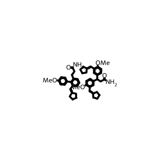 COc1ccc(-c2c(C=C3CCCC3)cccc2CCC(N)=O)cc1.COc1ccc(C(CC(N)=O)c2ccc(OC)c(C=C3CCCC3)c2)cc1C=C1CCCC1